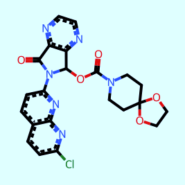 O=C(OC1c2nccnc2C(=O)N1c1ccc2ccc(Cl)nc2n1)N1CCC2(CC1)OCCO2